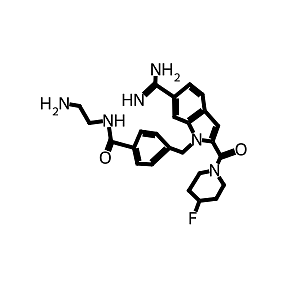 N=C(N)c1ccc2cc(C(=O)N3CCC(F)CC3)n(Cc3ccc(C(=O)NCCN)cc3)c2c1